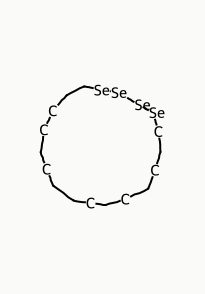 C1CCCCCCC[Se][Se][Se][Se]CCCCCCC1